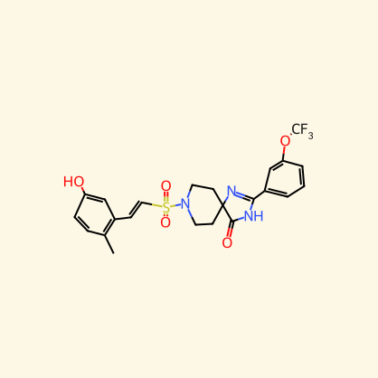 Cc1ccc(O)cc1C=CS(=O)(=O)N1CCC2(CC1)N=C(c1cccc(OC(F)(F)F)c1)NC2=O